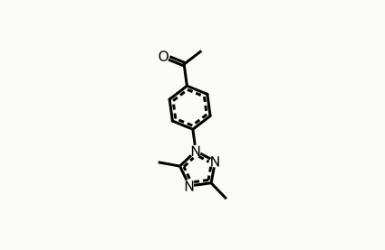 CC(=O)c1ccc(-n2nc(C)nc2C)cc1